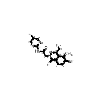 Cc1c(Br)ccc2c(=O)n(CC(=O)Nc3ncc(I)cn3)nc(CF)c12